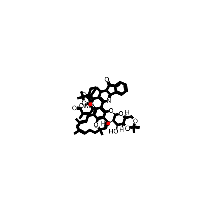 COC(=O)/C(C)=C\CC12OC(C)(C)C3CC(C1=O)C1C4=C(N=C5c6ccccc6C(=O)C51)c1c(O[C@H]5O[C@H]6COC(C)(C)O[C@@H]6[C@@H](O)[C@@H]5O)c5c(c(CC=C(C)C)c1OC432)OC(C)(CCC=C(C)C)C=C5